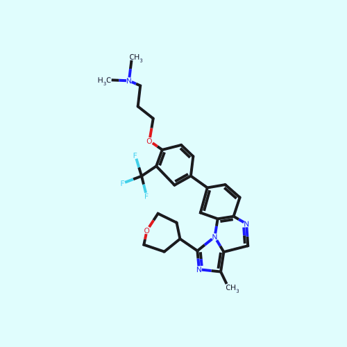 Cc1nc(C2CCOCC2)n2c1cnc1ccc(-c3ccc(OCCCN(C)C)c(C(F)(F)F)c3)cc12